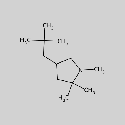 CN1CC(CC(C)(C)C)CC1(C)C